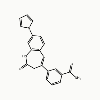 NC(=O)c1cccc(C2=Nc3ccc(-n4cccc4)cc3NC(=O)C2)c1